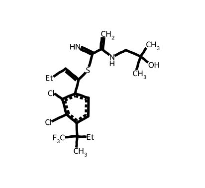 C=C(NCC(C)(C)O)C(=N)S/C(=C/CC)c1ccc(C(C)(CC)C(F)(F)F)c(Cl)c1Cl